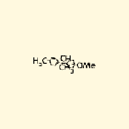 COC1=CC=C(C(C)(C)c2ccc(C)cc2)CC1